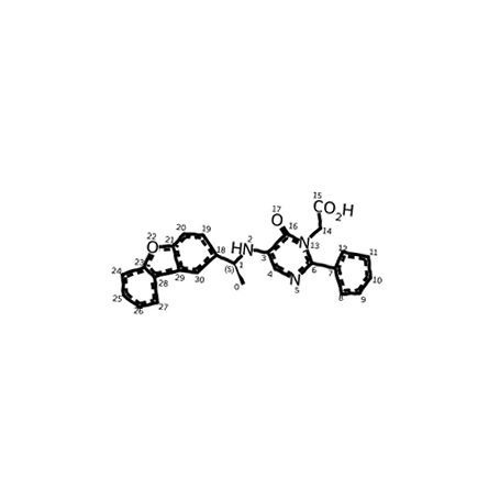 C[C@H](Nc1cnc(-c2ccccc2)n(CC(=O)O)c1=O)c1ccc2oc3ccccc3c2c1